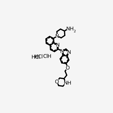 Cl.Cl.Cl.NC1CCN(c2cccc3ccc(-n4cnc5cc(OCCC6COCCN6)ccc54)nc23)CC1